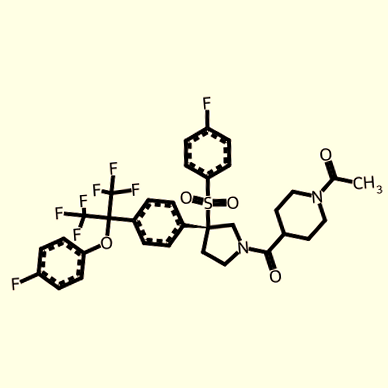 CC(=O)N1CCC(C(=O)N2CC[C@](c3ccc(C(Oc4ccc(F)cc4)(C(F)(F)F)C(F)(F)F)cc3)(S(=O)(=O)c3ccc(F)cc3)C2)CC1